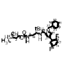 C[SiH](C)CCOC(=O)NCCCN[C@@H](c1cc(-c2cc(F)ccc2F)cn1Cc1ccccc1)C(C)(C)C